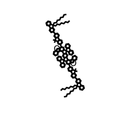 CCCCCCCCC1(CCCCCCCC)c2ccccc2-c2ccc(-c3ccc4c(c3)C(C)(C)c3cc(-c5cc6c(c7c5oc5ccccc57)-c5cc7c(cc5C65c6ccccc6-c6ccccc65)-c5c(cc(-c6ccc8c(c6)C(C)(C)c6cc(-c9ccc%10c(c9)C(CCCCCCCC)(CCCCCCCC)c9ccccc9-%10)ccc6-8)c6oc8ccccc8c56)C75c6ccccc6-c6ccccc65)ccc3-4)cc21